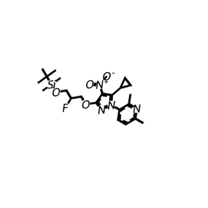 Cc1ccc(-n2nc(OCC(F)CO[Si](C)(C)C(C)(C)C)c([N+](=O)[O-])c2C2CC2)c(C)n1